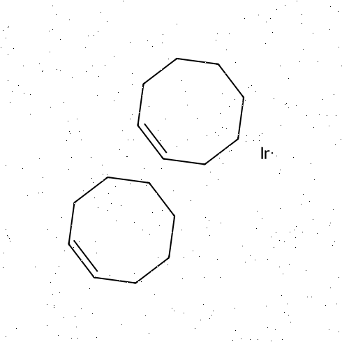 C1=CCCCCCC1.C1=CCCCCCC1.[Ir]